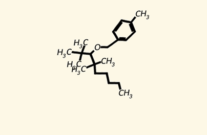 CCCCCC(C)(C)[C](OCc1ccc(C)cc1)C(C)(C)C